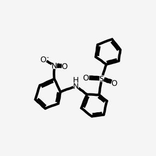 O=[N+]([O-])c1ccccc1Nc1ccccc1S(=O)(=O)c1ccccc1